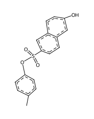 Cc1ccc(OS(=O)(=O)c2ccc3cc(O)ccc3c2)cc1